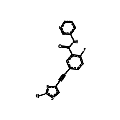 O=C(Nc1cccnc1)c1cc(C#Cc2csc(Cl)n2)ccc1F